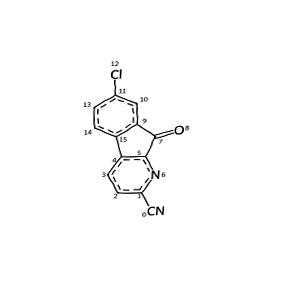 N#Cc1ccc2c(n1)C(=O)c1cc(Cl)ccc1-2